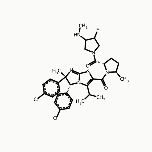 CNC1CN(C(=O)[C@@H]2CC[C@@H](C)N2C(=O)C2=C(C(C)C)N3C(=N[C@@](C)(c4ccc(Cl)cc4)[C@H]3c3ccc(Cl)cc3)S2)CC1F